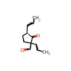 CC=CC1CCC(C=O)(C=CC)C1=O